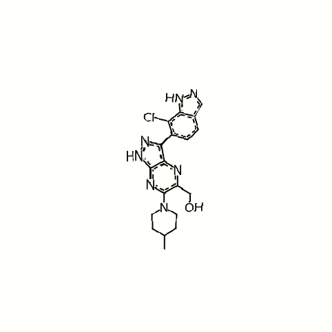 CC1CCN(c2nc3[nH]nc(-c4ccc5cn[nH]c5c4Cl)c3nc2CO)CC1